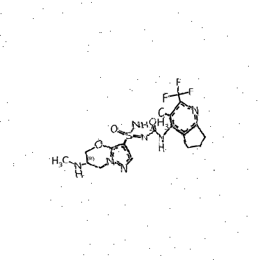 CN[C@H]1COc2c(S(N)(=O)=NC(=O)Nc3c(C)c(C(F)(F)F)nc4c3CCC4)cnn2C1